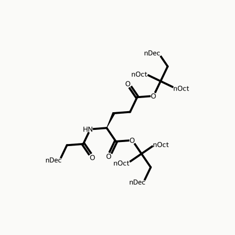 CCCCCCCCCCCC(=O)N[C@@H](CCC(=O)OC(CCCCCCCC)(CCCCCCCC)CCCCCCCCCCC)C(=O)OC(CCCCCCCC)(CCCCCCCC)CCCCCCCCCCC